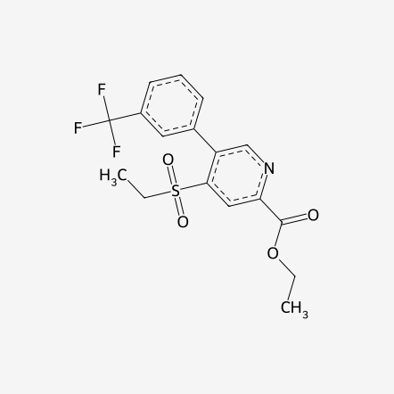 CCOC(=O)c1cc(S(=O)(=O)CC)c(-c2cccc(C(F)(F)F)c2)cn1